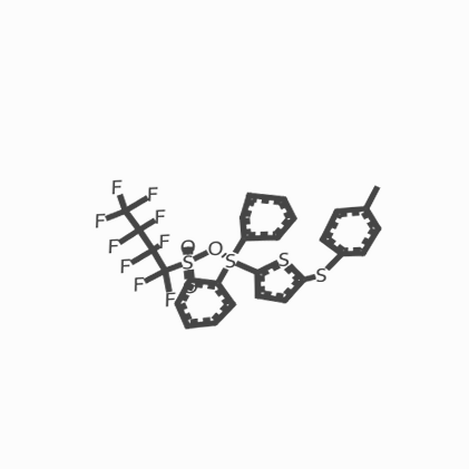 Cc1ccc(Sc2ccc(S(OS(=O)(=O)C(F)(F)C(F)(F)C(F)(F)C(F)(F)F)(c3ccccc3)c3ccccc3)s2)cc1